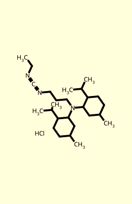 CCN=C=NCCCN(C1CC(C)CCC1C(C)C)C1CC(C)CCC1C(C)C.Cl